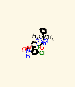 CC(C)(c1ccccc1)c1nnc(C(=O)N2CCC[C@@]3(C2)OC(=O)Nc2ccc(Cl)c(F)c23)[nH]1